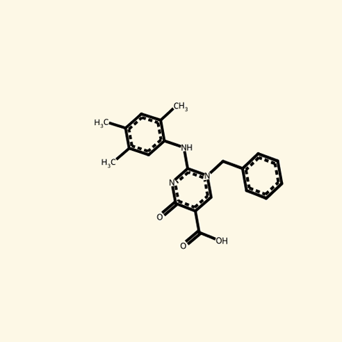 Cc1cc(C)c(Nc2nc(=O)c(C(=O)O)cn2Cc2ccccc2)cc1C